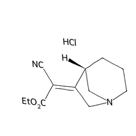 CCOC(=O)C(C#N)=C1CN2CCC[C@@H]1C2.Cl